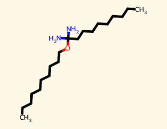 CCCCCCCCCCOC(N)(N)CCCCCCCCC